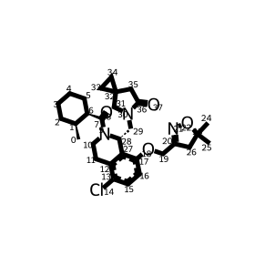 C[C@H]1CCCC[C@H]1C(=O)N1CCc2c(Cl)ccc(OCC3=NOC(C)(C)C3)c2[C@H]1CN1CC2(CC2)CC1=O